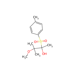 COC(C)(C)C(C)(O)S(=O)(=O)c1ccc(C)cc1